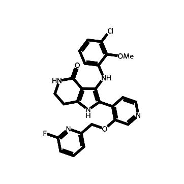 COc1c(Cl)cccc1Nc1c(-c2ccncc2OCc2cccc(F)n2)[nH]c2c1C(=O)NCC2